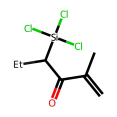 C=C(C)C(=O)C(CC)[Si](Cl)(Cl)Cl